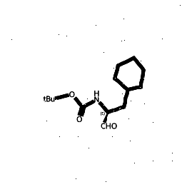 CC(C)(C)OC(=O)N[C@H](C=O)CC1CCCCC1